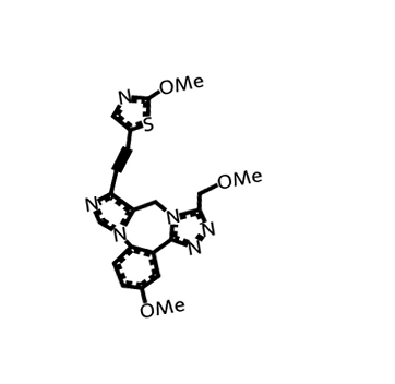 COCc1nnc2n1Cc1c(C#Cc3cnc(OC)s3)ncn1-c1ccc(OC)cc1-2